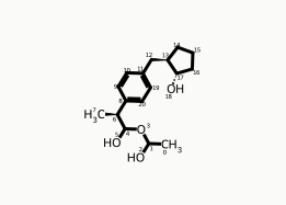 CC(O)OC(O)[C@@H](C)c1ccc(C[C@H]2CCC[C@@H]2O)cc1